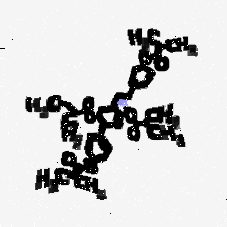 C=C(C)C(=O)Oc1ccc(/C=C/c2cc(OC(=O)C(=C)CC)c(-c3ccc(OC(=O)C(=C)C)cc3)cc2OC(=O)C(=C)C)cc1